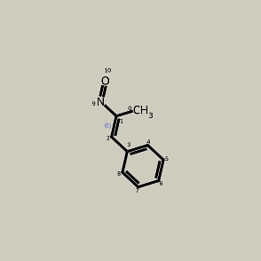 C/C(=C\c1ccccc1)N=O